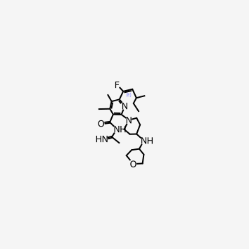 CCC(C)/C=C(/F)c1nc(N2CCC(NC3CCOCC3)CC2)c(C(=O)NC(C)=N)c(C)c1C